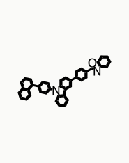 c1ccc2c(-c3ccc(-n4c5ccccc5c5cc(-c6ccc(-c7nc8ccccc8o7)cc6)ccc54)cc3)cccc2c1